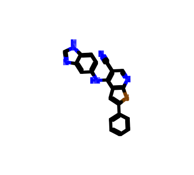 N#Cc1cnc2sc(-c3ccccc3)cc2c1Nc1ccc2[nH]cnc2c1